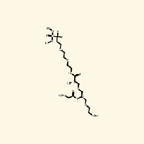 CCCCCCCCCCCCOC[C@H](CSC[C@H](N)C(=O)NCCOCCOCCC(F)(F)P(=O)(OCC)OCC)NC(=O)CCCCCCCCCCC